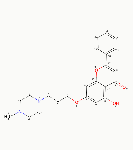 CN1CCN(CCCOc2cc(O)c3c(=O)cc(-c4ccccc4)oc3c2)CC1